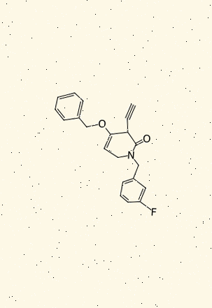 C#CC1C(=O)N(Cc2cccc(F)c2)CC=C1OCc1ccccc1